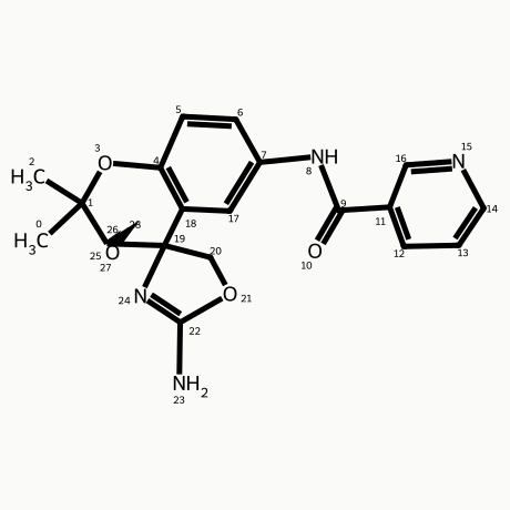 CC1(C)Oc2ccc(NC(=O)c3cccnc3)cc2C2(COC(N)=N2)C12COC2